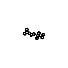 CC1(C)c2cc(-c3c4ccccc4c(-c4cccc5ccccc45)c4ccccc34)ccc2-c2nc3c4ccccc4c4ccccc4c3cc21